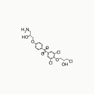 NC[C@H](O)COc1ccc(S(=O)(=O)c2cc(Cl)c(OC[C@@H](O)CCl)c(Cl)c2)cc1